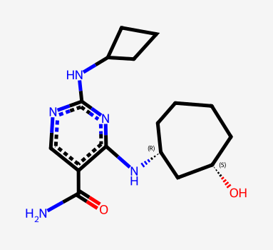 NC(=O)c1cnc(NC2CCC2)nc1N[C@@H]1CCCC[C@H](O)C1